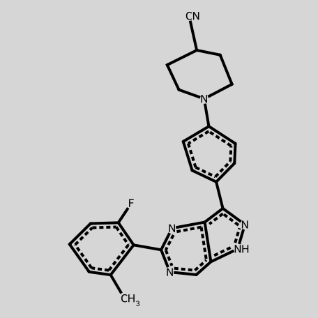 Cc1cccc(F)c1-c1ncc2[nH]nc(-c3ccc(N4CCC(C#N)CC4)cc3)c2n1